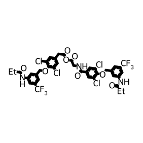 CCC(=O)Nc1cc(COc2c(Cl)cc(CC(=O)OC(=O)CNC(=O)c3cc(Cl)c(OCc4cc(NC(=O)CC)cc(C(F)(F)F)c4)c(Cl)c3)cc2Cl)cc(C(F)(F)F)c1